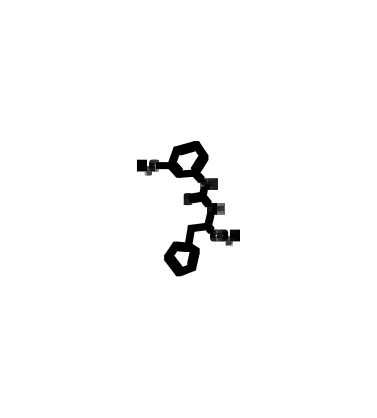 Cc1cccc(NC(=S)NC(Cc2ccccc2)C(=O)O)c1